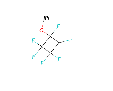 CC(C)OC1(F)C(F)C(F)(F)C1(F)F